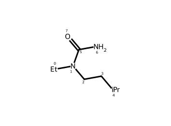 CCN(CCC(C)C)C(N)=O